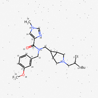 CCCCC(CC)CN1CC2C(C1)C2CN(Cc1cccc(OC(F)(F)F)c1)C(=O)c1cn(C)cn1